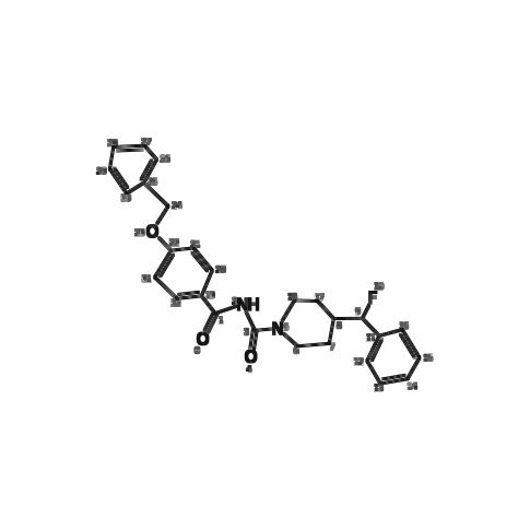 O=C(NC(=O)N1CCC(C(F)c2ccccc2)CC1)c1ccc(OCc2ccccc2)cc1